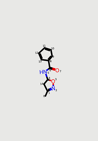 CC1=NOC(NC(=O)c2ccccc2)C1